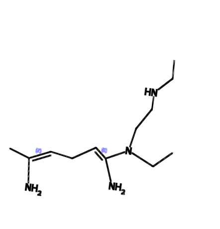 CCNCCN(CC)/C(N)=C/C/C=C(/C)N